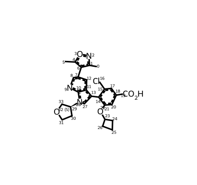 Cc1noc(C)c1-c1cnc2c(c1)c(-c1c(Cl)cc(C(=O)O)cc1OC1CCC1)cn2[C@H]1CCOC1